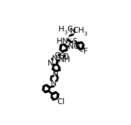 CN(C)CC[C@H](CSc1ccc(F)cc1)Nc1ccc(S(=O)(=O)Nc2ncnc3cc(N4CCN(Cc5ccccc5-c5ccc(Cl)cc5)CC4)ccc23)cc1[N+](=O)[O-]